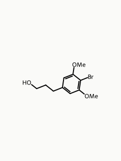 COc1cc(CCCO)cc(OC)c1Br